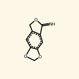 N=C1OCc2cc3c(cc21)OCO3